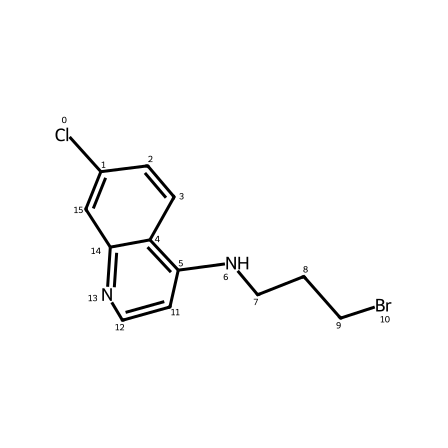 Clc1ccc2c(NCCCBr)ccnc2c1